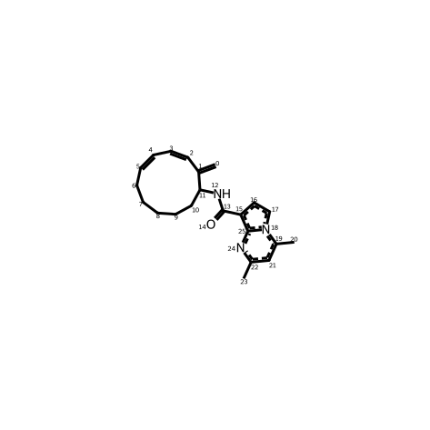 C=C1/C=C\C=C/CCCCCC1NC(=O)c1ccn2c(C)cc(C)nc12